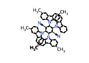 Cc1ccc2c(c1)c1cc(C)ccc1n2-c1c(C#N)c(-n2c3ccc(C)cc3c3cc(C)ccc32)c(-n2c3ccc(C)cc3c3cc(C)ccc32)c(C#N)c1-n1c2ccccc2c2ccccc21